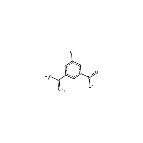 C=C(C)c1cc(Cl)cc([N+](=O)[O-])c1